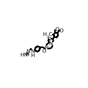 Cc1c(C2CN3CCCN(C(=O)Cc4ccc(N/C=N\N=N)cc4)CC3CO2)ccc2c1COC2=O